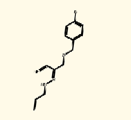 N=C/C(COCc1ccc(Br)cc1)=N\NCCF